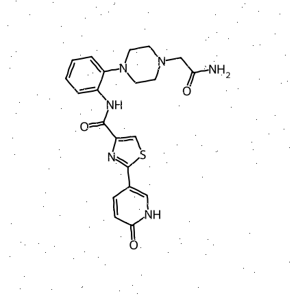 NC(=O)CN1CCN(c2ccccc2NC(=O)c2csc(-c3ccc(=O)[nH]c3)n2)CC1